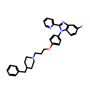 Fc1ccc2c(c1)nc(-c1ccccn1)n2-c1ccc(OCCCN2CCC(Cc3ccccc3)CC2)cc1